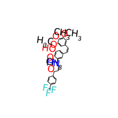 COc1cc(/C=C\c2cc(O)c(OC)c(N/C=C\C(=O)c3ccc(C(F)(F)F)cc3)c2)cc(OC)c1OC